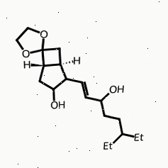 CCC(CC)CCC(O)C=CC1C(O)C[C@H]2[C@H]1CC21OCCO1